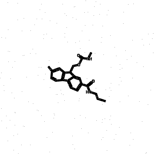 CCCNC(=O)c1ccc2c(c1)C(COC(=O)NC)c1cc(C)ccc1-2